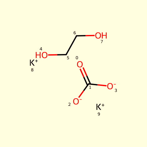 O=C([O-])[O-].OCCO.[K+].[K+]